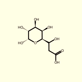 O=C(O)CC(O)[C@H]1O[C@H](O)[C@H](O)[C@@H](O)[C@H]1O